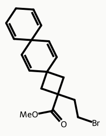 COC(=O)C1(CCBr)CC2(C=CC3(C=CCC=C3)C=C2)C1